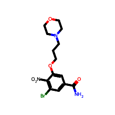 NC(=O)c1cc(Br)c([N+](=O)[O-])c(OCCCN2CCOCC2)c1